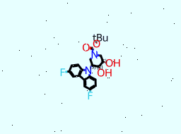 CC(C)(C)OC(=O)N1C[C@H](O)[C@H](O)[C@@H](n2c3ccc(F)cc3c3cc(F)ccc32)C1